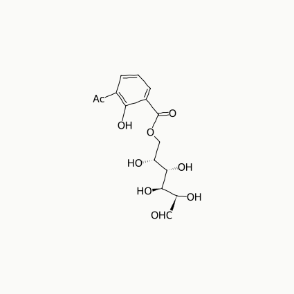 CC(=O)c1cccc(C(=O)OC[C@@H](O)[C@H](O)[C@H](O)[C@@H](O)C=O)c1O